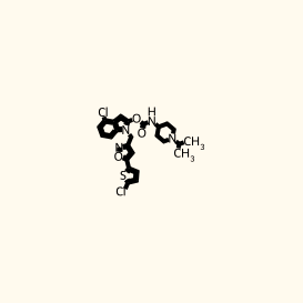 CC(C)N1CCC(NC(=O)Oc2cc3c(Cl)cccc3n2Cc2cc(-c3ccc(Cl)s3)on2)CC1